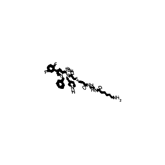 CC(C)(C)[C@H](c1cc(-c2cc(F)ccc2F)cn1Cc1ccccc1)N(CC1CCNC1)C(=O)CSCCC(=O)NCCNC(=O)CCCCCN